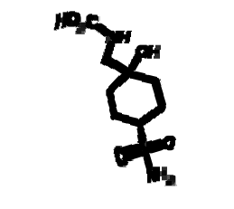 NS(=O)(=O)[C@H]1CC[C@](O)(CNC(=O)O)CC1